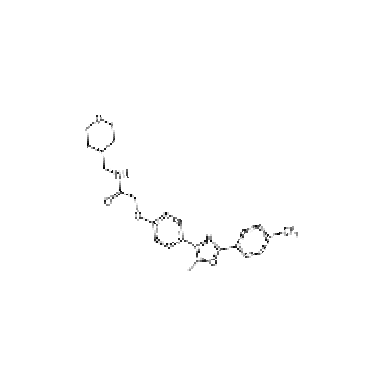 Cc1oc(-c2ccc(C(F)(F)F)cc2)nc1-c1ccc(OCC(=O)NCC2CCOCC2)cc1